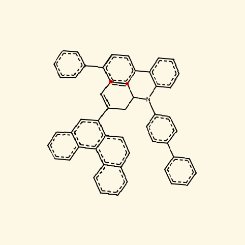 C1=CC(N(c2ccc(-c3ccccc3)cc2)c2ccccc2-c2ccc(-c3ccccc3)cc2)CC(c2cc3ccccc3c3c2ccc2ccccc23)=C1